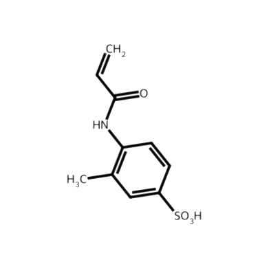 C=CC(=O)Nc1ccc(S(=O)(=O)O)cc1C